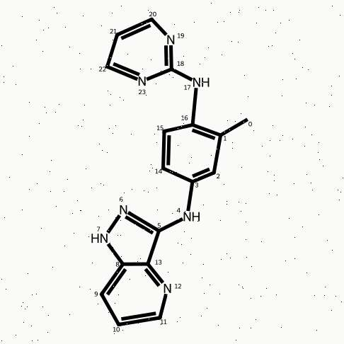 Cc1cc(Nc2n[nH]c3cccnc23)ccc1Nc1ncccn1